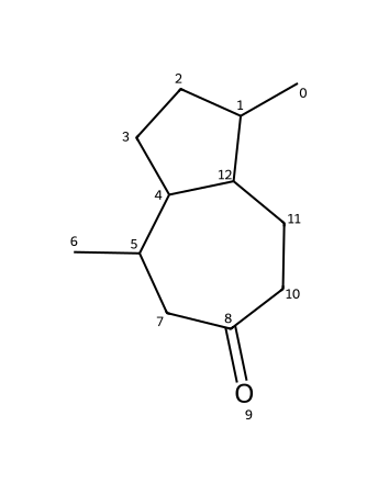 CC1CCC2C(C)CC(=O)CCC12